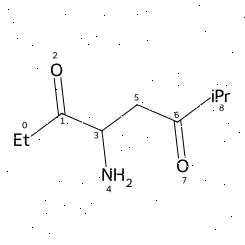 CCC(=O)C(N)CC(=O)C(C)C